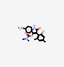 Cc1cc(C)c(C2=C(OC(=O)N(C)C)C3(CCC(C(F)(F)F)CC3)NC2=O)c(Cl)c1